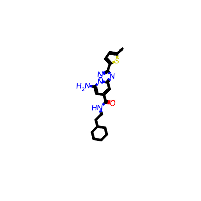 Cc1ccc(-c2nc3cc(C(=O)NCCC4CCCCC4)cc(N)n3n2)s1